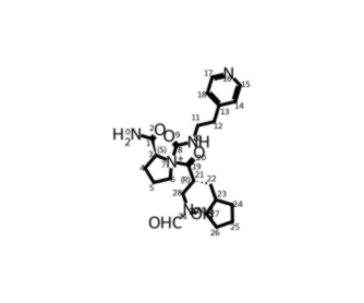 NC(=O)[C@@H]1CCC[N+]1(C(=O)NCCc1ccncc1)C(=O)[C@H](CC1CCCC1)CN(O)C=O